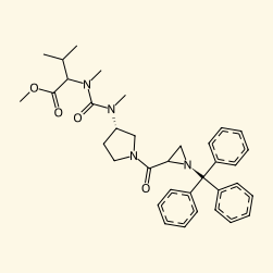 COC(=O)C(C(C)C)N(C)C(=O)N(C)[C@H]1CCN(C(=O)C2C[N@@]2C(c2ccccc2)(c2ccccc2)c2ccccc2)C1